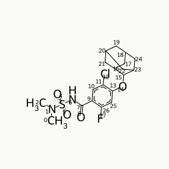 CN(C)S(=O)(=O)NC(=O)c1cc(Cl)c(OC2C3CC4CC(C3)CC2C4)cc1F